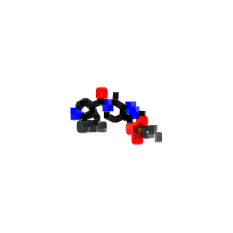 COc1nccc(C(=O)N2CCc3c(nn(C)c3OS(=O)(=O)C(F)(F)F)[C@@H]2C)c1C